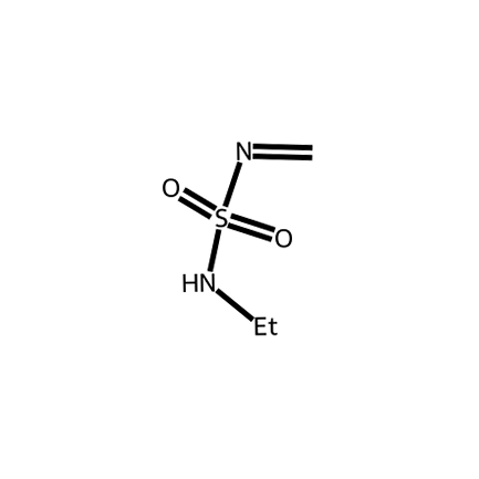 C=NS(=O)(=O)NCC